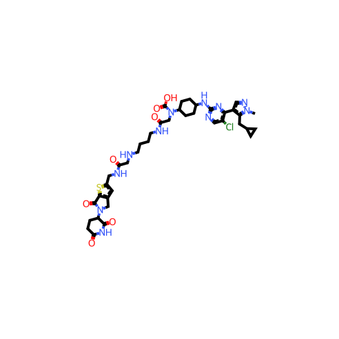 Cn1ncc(-c2nc(NC3CCC(N(CC(=O)NCCCCNCC(=O)NCc4cc5c(s4)C(=O)N(C4CCC(=O)NC4=O)C5)C(=O)O)CC3)ncc2Cl)c1CC1CC1